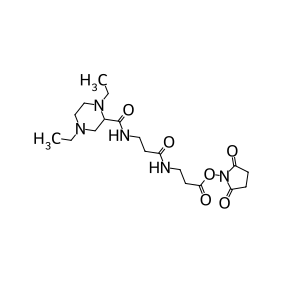 CCN1CCN(CC)C(C(=O)NCCC(=O)NCCC(=O)ON2C(=O)CCC2=O)C1